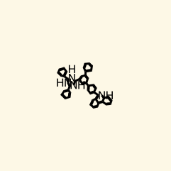 C1=CC2=c3ccccc3=C(c3ccc(-c4cc(-c5ccccc5)cc(C5NC(c6ccccc6)NC(c6ccccc6)N5)c4)cc3)NC2C=C1